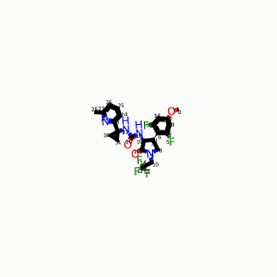 COc1cc(F)c([C@@H]2CN(CC(F)(F)F)C(=O)[C@H]2NC(=O)NC2(c3cccc(C)n3)CC2)c(F)c1